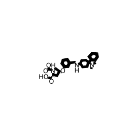 CN(C)C1(c2ccccc2)CCC(NCc2cccc(O[C@H]3C[C@@H](C(=O)O)N(C(=O)O)C3)c2)CC1